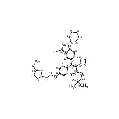 CC1(C)COB(/C(=C(\c2ccc(OCCN3CC[C@@H](CF)C3)cc2)c2ccc3c(c2)c(F)nn3C2CCCCO2)C2CCC2)OC1